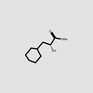 COC(=O)[C@H](O)CC1CCCCC1